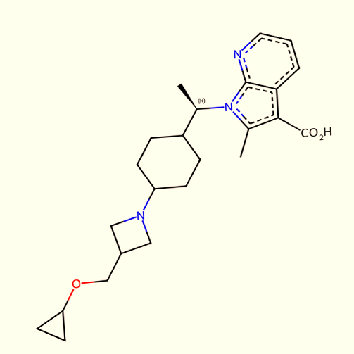 Cc1c(C(=O)O)c2cccnc2n1[C@H](C)C1CCC(N2CC(COC3CC3)C2)CC1